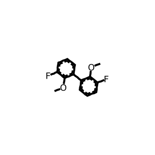 COc1c(F)cccc1-c1cccc(F)c1OC